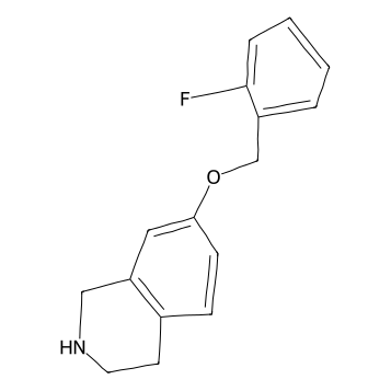 Fc1ccccc1COc1ccc2c(c1)CNCC2